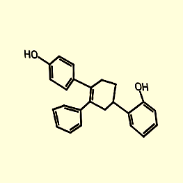 Oc1ccc(C2=C(c3ccccc3)CC(c3ccccc3O)CC2)cc1